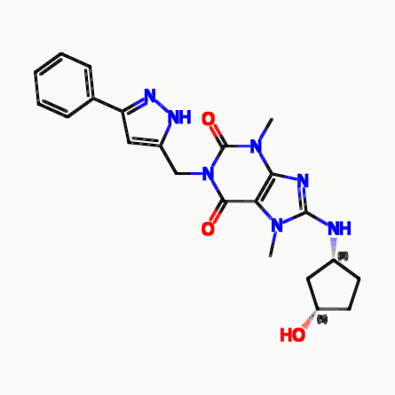 Cn1c(N[C@@H]2CC[C@H](O)C2)nc2c1c(=O)n(Cc1cc(-c3ccccc3)n[nH]1)c(=O)n2C